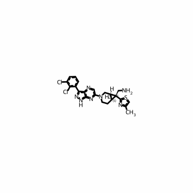 Cc1csc([C@@]2(CN)[C@@H]3CN(c4cnc5c(-c6cccc(Cl)c6Cl)n[nH]c5n4)CC[C@@H]32)n1